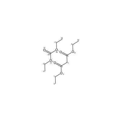 CCOC(=O)CC(=O)OCC.CCOC(=O)OCC